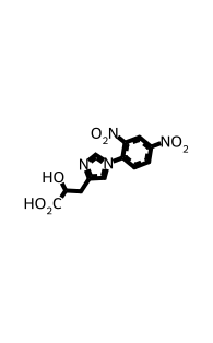 O=C(O)C(O)Cc1cn(-c2ccc([N+](=O)[O-])cc2[N+](=O)[O-])cn1